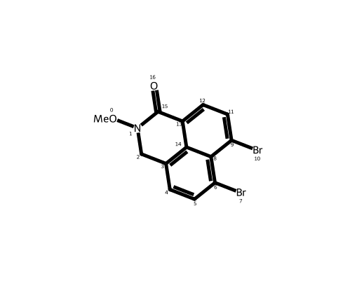 CON1Cc2ccc(Br)c3c(Br)ccc(c23)C1=O